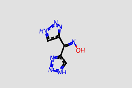 ON=C(c1c[nH]nn1)c1c[nH]nn1